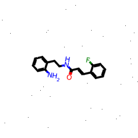 Nc1ccccc1CCNC(=O)/C=C/c1ccccc1F